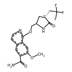 COc1cc2c(OCC3C[C@H](CC(F)(F)F)C(=O)N3)nccc2cc1C(N)=O